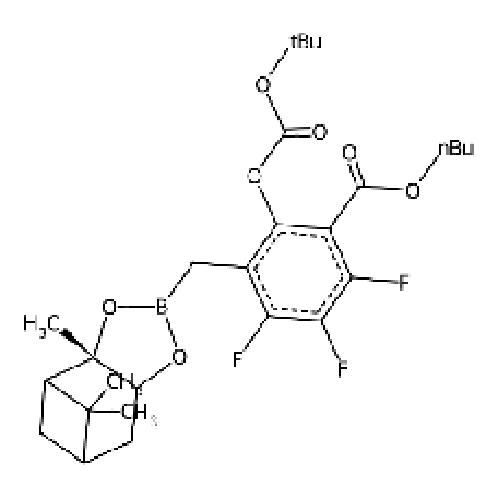 CCCCOC(=O)c1c(F)c(F)c(F)c(CB2OC3CC4CC(C4(C)C)[C@]3(C)O2)c1OC(=O)OC(C)(C)C